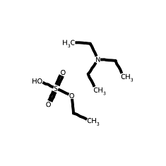 CCN(CC)CC.CCOS(=O)(=O)O